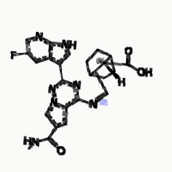 CNC(=O)c1cc2c(/N=C\C3C4CCC(CC4)[C@@H]3C(=O)O)nc(-c3c[nH]c4ncc(F)cc34)nn2c1